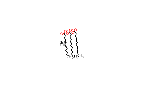 CCCCCCCCCCCC(=O)[O-].CCCCCCCCCCCC(=O)[O-].CCCCCCCCCCCC(=O)[O-].[CH3][Sn+3]